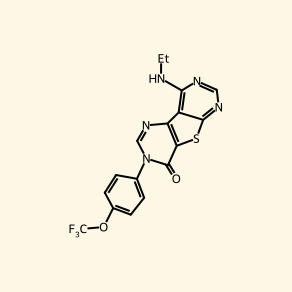 CCNc1ncnc2sc3c(=O)n(-c4ccc(OC(F)(F)F)cc4)cnc3c12